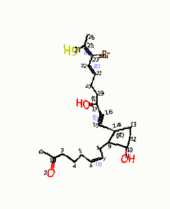 CC(=O)CCC/C=C\CC1C(O)CC[C@@H]1/C=C/[C@@H](O)CC/C=C/C(Br)=C(/C)S